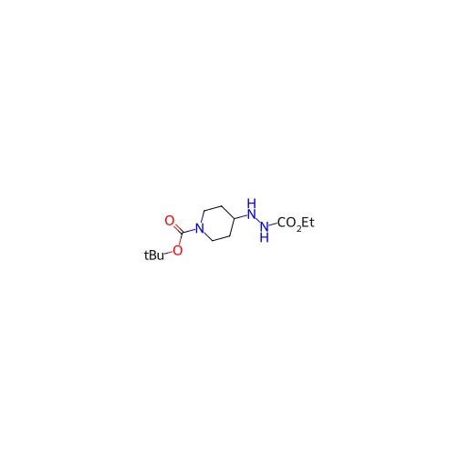 CCOC(=O)NNC1CCN(C(=O)OC(C)(C)C)CC1